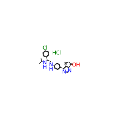 CC(C)NC(CNc1ccc(-c2ncnc3c2[C@H](C)C[C@H]3O)cc1)c1ccc(Cl)cc1.Cl